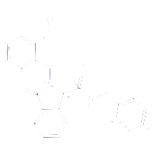 CCOc1ccccc1CN1C(=O)c2ccccc2C1C(=O)NCc1ccccc1